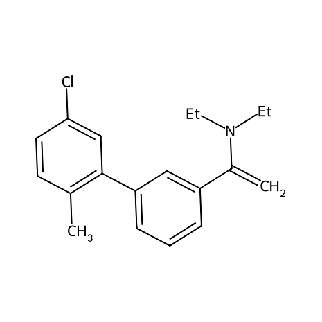 C=C(c1cccc(-c2cc(Cl)ccc2C)c1)N(CC)CC